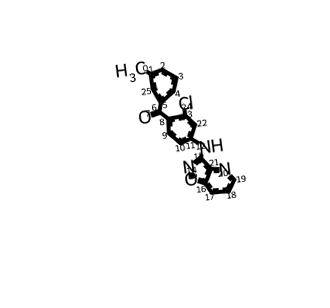 Cc1cccc(C(=O)c2ccc(Nc3noc4cccnc34)cc2Cl)c1